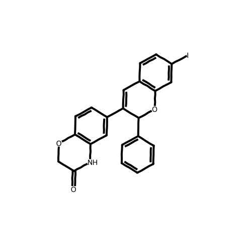 O=C1COc2ccc(C3=Cc4ccc(I)cc4OC3c3ccccc3)cc2N1